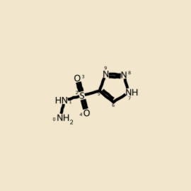 NNS(=O)(=O)c1c[nH]nn1